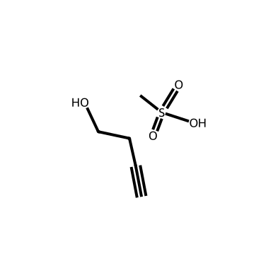 C#CCCO.CS(=O)(=O)O